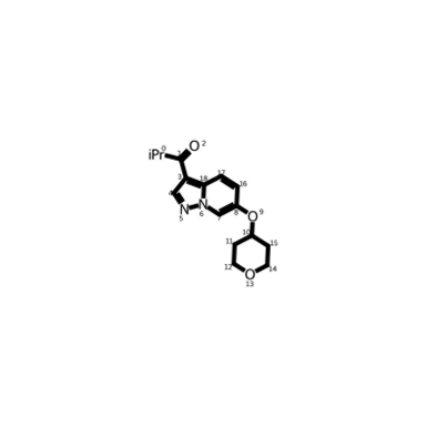 CC(C)C(=O)c1cnn2cc(OC3CCOCC3)ccc12